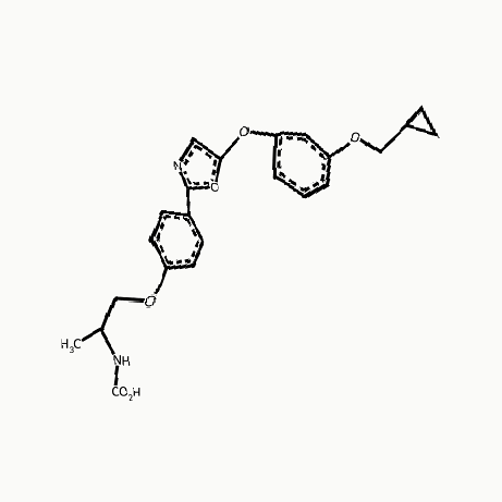 CC(COc1ccc(-c2ncc(Oc3cccc(OCC4CC4)c3)o2)cc1)NC(=O)O